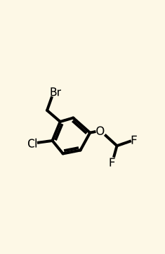 FC(F)Oc1ccc(Cl)c(CBr)c1